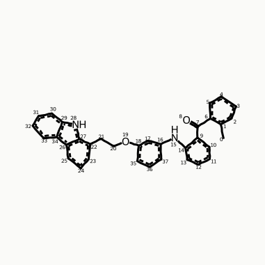 Cc1ccccc1C(=O)c1ccccc1Nc1[c]c(OCCc2cccc3c2[nH]c2ccccc23)ccc1